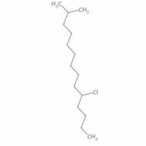 CCCCC(Cl)CCCCCCCC(C)C